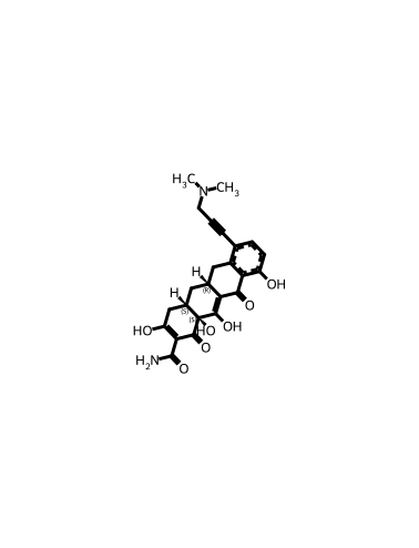 CN(C)CC#Cc1ccc(O)c2c1C[C@H]1C[C@H]3CC(O)=C(C(N)=O)C(=O)[C@@]3(O)C(O)=C1C2=O